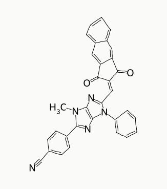 Cn1c(-c2ccc(C#N)cc2)nc2c1nc(C=C1C(=O)c3cc4ccccc4cc3C1=O)n2-c1ccccc1